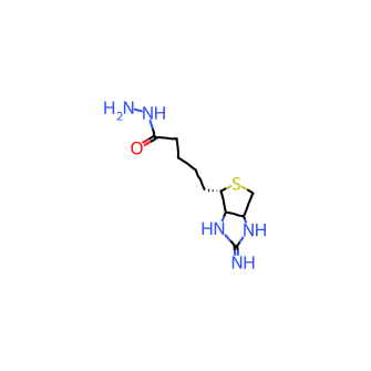 N=C1NC2CS[C@@H](CCCCC(=O)NN)C2N1